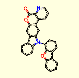 O=c1oc2cc3c4ccccc4n(-c4cccc5c4oc4ccccc45)c3cc2c2cccnc12